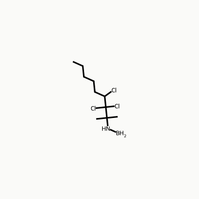 BNC(C)(C)C(Cl)(Cl)C(Cl)CCCCC